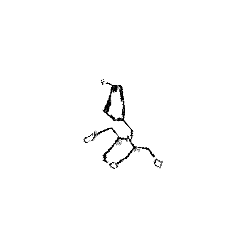 Fc1ccc(CN2[C@H](CCl)COC[C@@H]2CCl)cc1